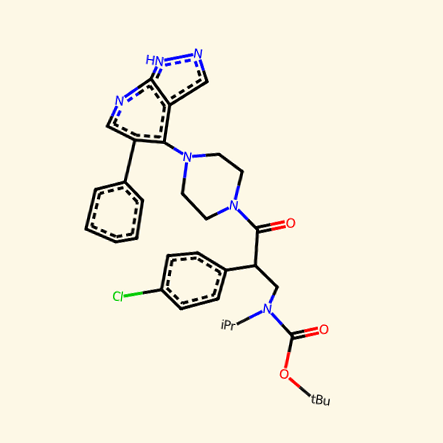 CC(C)N(CC(C(=O)N1CCN(c2c(-c3ccccc3)cnc3[nH]ncc23)CC1)c1ccc(Cl)cc1)C(=O)OC(C)(C)C